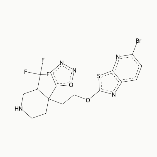 FC(F)(F)C1CNCCC1(CCOc1nc2ccc(Br)nc2s1)c1cnno1